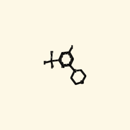 FC(F)(F)c1cc(I)cc(N2CCOCC2)n1